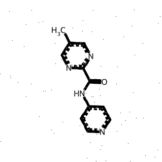 Cc1cnc(C(=O)Nc2ccncc2)nc1